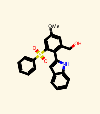 COc1cc(CO)c(-c2cc3ccccc3[nH]2)c(S(=O)(=O)c2ccccc2)c1